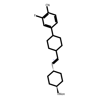 CCCCCCCCC[C@H]1CC[C@H](/C=C/C2CCC(c3ccc(C#N)c(F)c3)CC2)CC1